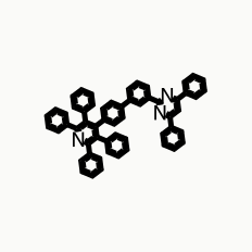 c1ccc(-c2cc(-c3ccccc3)nc(-c3cccc(-c4ccc(-c5c(-c6ccccc6)c(-c6ccccc6)nc(-c6ccccc6)c5-c5ccccc5)cc4)c3)n2)cc1